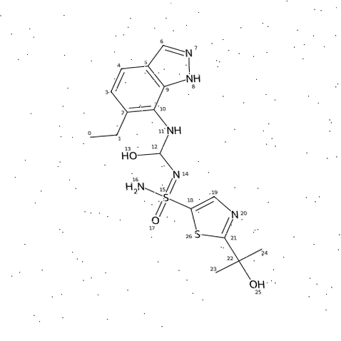 CCc1ccc2cn[nH]c2c1NC(O)N=S(N)(=O)c1cnc(C(C)(C)O)s1